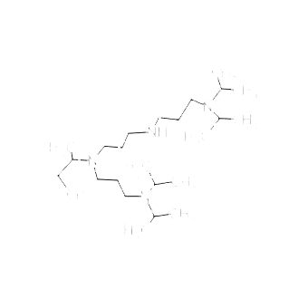 CCC(C)N(CCCNCCCN(C(C)C)C(C)C)CCCN(C(C)C)C(C)C